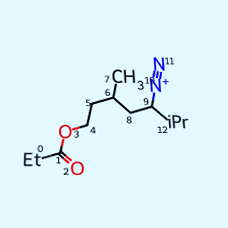 CCC(=O)OCCC(C)CC([N+]#N)C(C)C